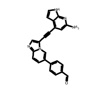 Nc1cc(C#Cc2cnc3ccc(-c4ccc(C=O)cc4)cn23)c2cc[nH]c2n1